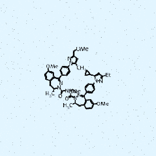 CCc1cc(C2CC2)n(-c2ccc(C3=NN(C(=O)NC)C(C)Cc4ccc(OC)cc43)cc2)n1.CNC(=O)N1N=C(c2ccc(-n3nc(COC)cc3C)cc2)c2cc(OC)ccc2C[C@@H]1C